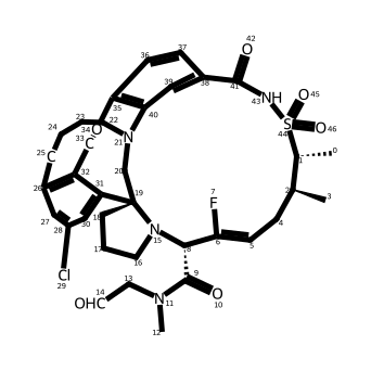 C[C@@H]1[C@@H](C)C/C=C(\F)[C@H](C(=O)N(C)CC=O)N2CCC[C@@]23CN2CCCCc4cc(Cl)cc3c4COc3ccc(cc32)C(=O)NS1(=O)=O